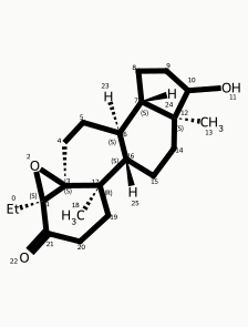 CC[C@]12O[C@]13CC[C@H]1[C@@H]4CCC(O)[C@@]4(C)CC[C@@H]1[C@@]3(C)CCC2=O